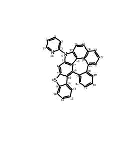 c1ccc(-n2c3cc4sc5ccccc5c4c4c3c3c5c(cccc5ccc32)-c2ccccc2-4)nc1